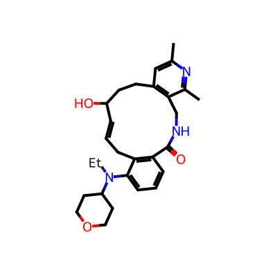 CCN(c1cccc2c1C/C=C/C(O)CCc1cc(C)nc(C)c1CNC2=O)C1CCOCC1